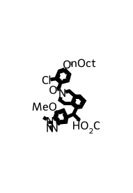 CCCCCCCCOc1ccc(C(=O)N2CCc3c(cccc3C(CC(=O)O)c3cc(OC)c4c(c3)nnn4C)C2)c(Cl)c1